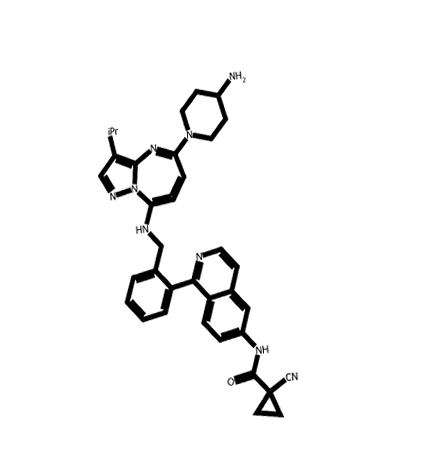 CC(C)c1cnn2c1N=C(N1CCC(N)CC1)C=C=C2NCc1ccccc1-c1nccc2cc(NC(=O)C3(C#N)CC3)ccc12